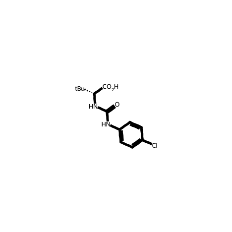 CC(C)(C)[C@@H](NC(=O)Nc1ccc(Cl)cc1)C(=O)O